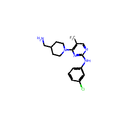 NCC1CCN(c2nc(Nc3cccc(Cl)c3)ncc2C(F)(F)F)CC1